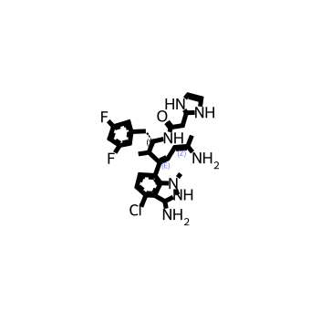 C/C(N)=C/C=C(/c1ccc(Cl)c2c1N(C)NC2N)C(C)[C@H](Cc1cc(F)cc(F)c1)NC(=O)CC1NC=CN1